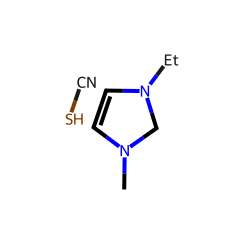 CCN1C=CN(C)C1.N#CS